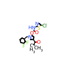 CC(C)C(=O)c1cc(OC(=O)Nc2ncc(Cl)s2)n(Cc2cccc(F)c2F)c1